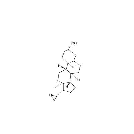 C[C@]12CC[C@H]3[C@@H](CCC4CC(O)CC[C@@]43C)[C@@H]1CC[C@@H]2C1CO1